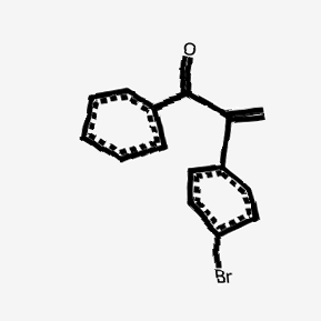 C=C(C(=O)c1ccccc1)c1ccc(Br)cc1